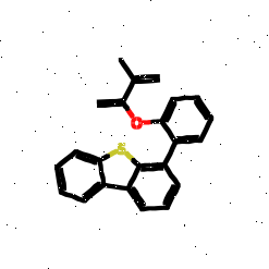 C=C(C)C(=C)Oc1ccccc1-c1cccc2c1sc1ccccc12